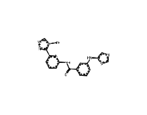 CC(C)n1cnnc1-c1cccc(NC(=O)c2cccc(Nc3cncs3)c2)n1